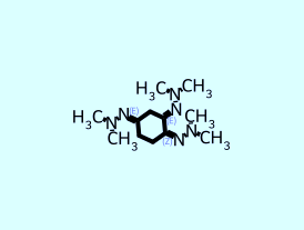 CN(C)/N=C1/CC/C(=N\N(C)C)C/C1=N\N(C)C